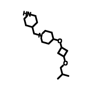 CC(C)COC1CC(OC2CCN(CC3CCNCC3)CC2)C1